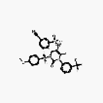 [C-]#[N+]C1=C(C)N(c2cccc(C(F)(F)F)c2)C(=O)N(S(=O)(=O)c2ccc(OC)cc2)[C@@H]1c1ccc(C#N)cc1S(C)(=O)=O